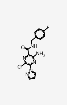 Nc1nc(-n2cccn2)c(Cl)nc1C(=O)NCc1ccc(F)cc1